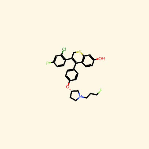 Oc1ccc2c(c1)SCC(c1ccc(F)cc1Cl)=C2c1ccc(O[C@H]2CCN(CCCF)C2)cc1